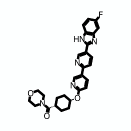 O=C([C@H]1CC[C@@H](Oc2ccc(-c3ccc(-c4nc5cc(F)ccc5[nH]4)cn3)cn2)CC1)N1CCOCC1